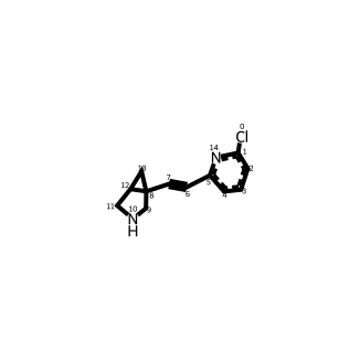 Clc1cccc(C#CC23CNCC2C3)n1